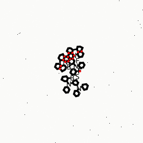 Fc1cccc(F)c1N1c2cc(N(c3ccccc3)c3c(-c4ccccc4)cccc3-c3ccccc3)cc3c2B(c2ccccc2N3c2c(-c3ccccc3)cccc2-c2ccccc2)c2cc3c(c(F)c21)Sc1cc(N(c2ccccc2)c2ccccc2)cc2c1B3c1ccccc1N2c1ccccc1